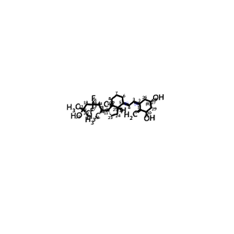 C=C1/C(=C\C=C2/CCC[C@]3(C)[C@@H]([C@H](C)CC(F)(F)CC(C)(C)O)CC[C@@H]23)C[C@@H](O)CC1O